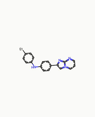 CCc1ccc(Nc2ccc(-c3cn4cccnc4n3)cc2)cc1